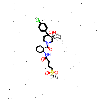 CC1(C)CN(C(=O)[C@H]2CCCC[C@H]2NC(=O)CCCS(C)(=O)=O)CC[C@]1(O)c1ccc(Cl)cc1